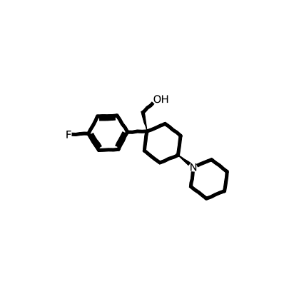 OC[C@]1(c2ccc(F)cc2)CC[C@H](N2CCCCC2)CC1